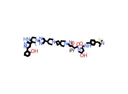 Cc1ncsc1-c1ccc(CNC(=O)[C@@H]2C[C@@H](O)CN2C(=O)[C@@H](c2cc(N3CCC4(CC3)CC(N3CCC(c5cnc(N6CCc7[nH]c8nnc(-c9ccccc9O)cc8c7[C@H]6C)nc5)CC3)C4)no2)C(C)C)cc1